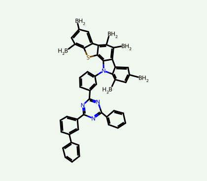 Bc1cc(B)c2sc3c(c(B)c(B)c4c5cc(B)cc(B)c5n(-c5cccc(-c6nc(-c7ccccc7)nc(-c7cccc(-c8ccccc8)c7)n6)c5)c34)c2c1